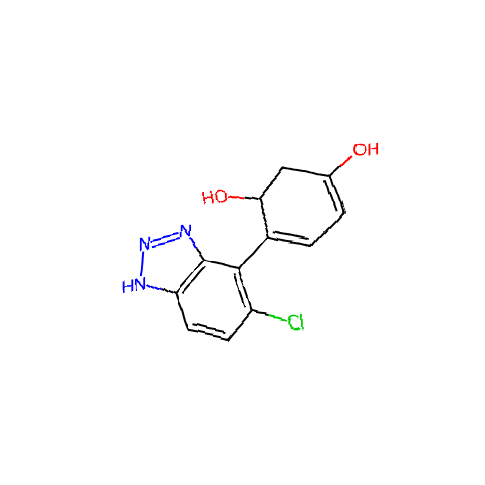 OC1=CC=C(c2c(Cl)ccc3[nH]nnc23)C(O)C1